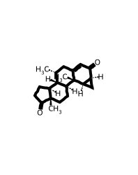 C[C@@H]1CC2=CC(=O)[C@H]3C[C@H]3[C@]2(C)[C@H]2CC[C@]3(C)C(=O)CC[C@H]3[C@H]12